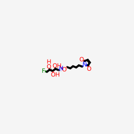 O=C1C=CC(=O)N1CCCCCCO/N=C/[C@H](O)C(O)[C@H](O)CF